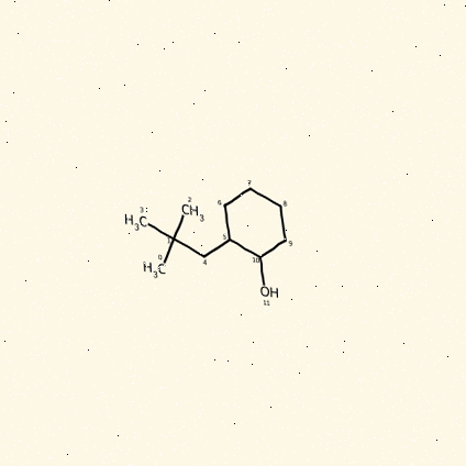 CC(C)(C)CC1CCCCC1O